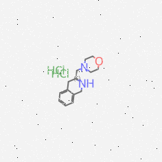 Cl.Cl.c1ccc2c(c1)CN[C@H](CN1CCOCC1)C2